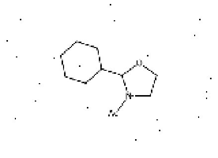 CC(=O)N1CCOC1C1CCCCC1